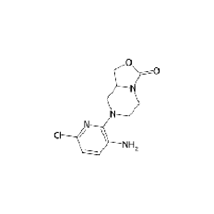 Nc1ccc(Cl)nc1N1CCN2C(=O)OCC2C1